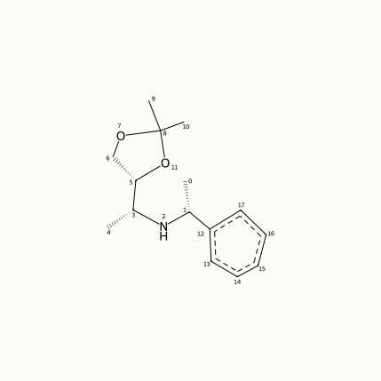 C[C@@H](N[C@H](C)[C@@H]1COC(C)(C)O1)c1ccccc1